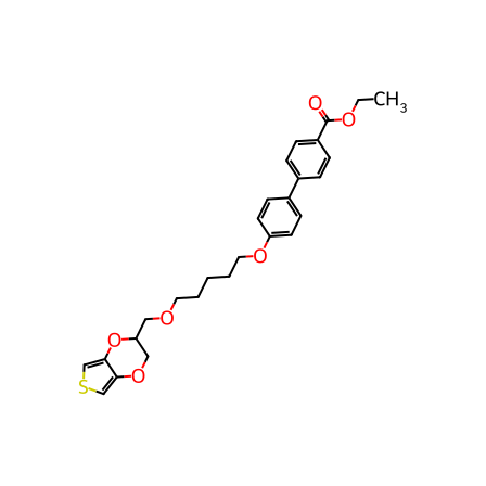 CCOC(=O)c1ccc(-c2ccc(OCCCCCOCC3COc4cscc4O3)cc2)cc1